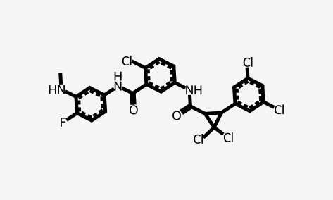 CNc1cc(NC(=O)c2cc(NC(=O)C3C(c4cc(Cl)cc(Cl)c4)C3(Cl)Cl)ccc2Cl)ccc1F